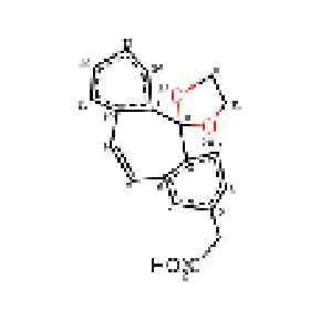 O=C(O)Cc1ccc2c(c1)C=Cc1ccccc1C21OCCO1